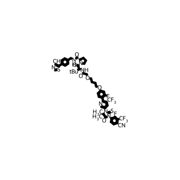 Cc1ncsc1-c1ccc(CNC(=O)[C@@H]2CCCN2C(=O)C(NC(=O)COCCCCOc2ccc(-c3ncc(N4C(=S)N(c5ccc(C#N)c(C(F)(F)F)c5F)C(=O)C4(C)C)cc3C(F)(F)F)c(F)c2)C(C)(C)C)cc1